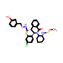 COSN[C@H]1CCCCC1N1C(=O)c2ccccc2[C@@H](C(=O)NOCc2cccc(O)c2)[C@@H]1c1ccc(Cl)cc1Cl